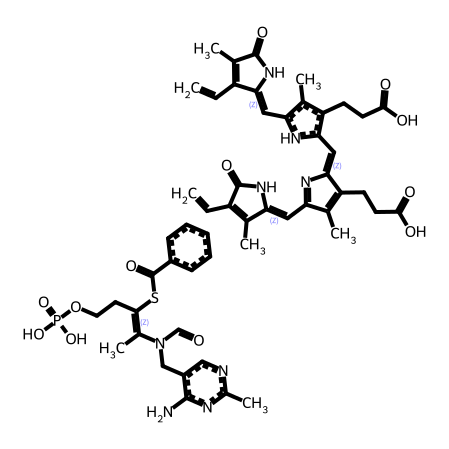 C/C(=C(\CCOP(=O)(O)O)SC(=O)c1ccccc1)N(C=O)Cc1cnc(C)nc1N.C=CC1=C(C)/C(=C/C2=NC(=C\c3[nH]c(/C=C4\NC(=O)C(C)=C4C=C)c(C)c3CCC(=O)O)/C(CCC(=O)O)=C2C)NC1=O